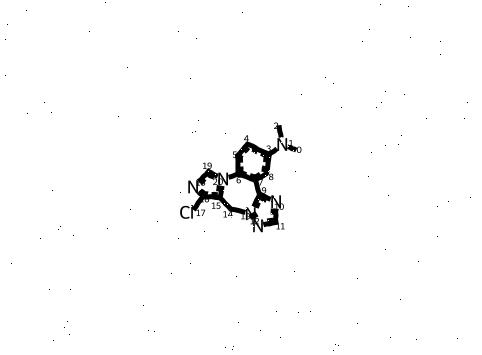 CN(C)c1ccc2c(c1)-c1ncnn1Cc1c(Cl)ncn1-2